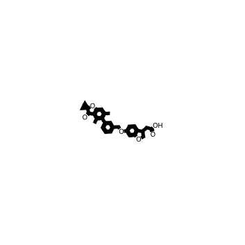 Cc1cc2c(c(C)c1-c1cccc(COc3ccc4c(c3)OCC4CC(=O)O)c1)C(=O)C1(CC1)O2